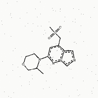 CC1COCCN1c1cc(CS(C)(=O)=O)c2cncn2n1